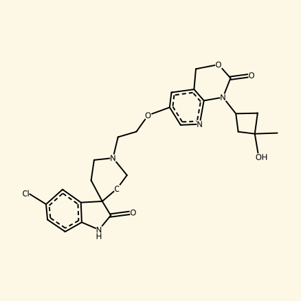 CC1(O)CC(N2C(=O)OCc3cc(OCCN4CCC5(CC4)C(=O)Nc4ccc(Cl)cc45)cnc32)C1